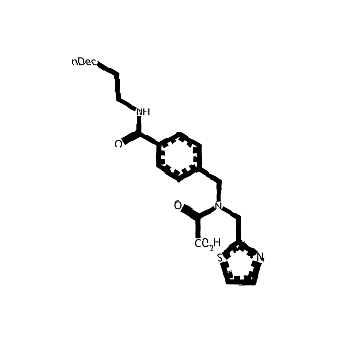 CCCCCCCCCCCCNC(=O)c1ccc(CN(Cc2nccs2)C(=O)C(=O)O)cc1